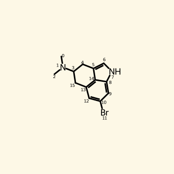 CN(C)C1Cc2c[nH]c3cc(Br)cc(c23)C1